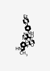 CCN1CCN(c2ccc(Nc3ncnc(Oc4ccc5[nH]c(C)cc5c4F)c3C(=O)N3CCOCC3)cc2)CC1